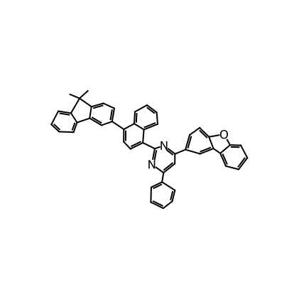 CC1(C)c2ccccc2-c2cc(-c3ccc(-c4nc(-c5ccccc5)cc(-c5ccc6oc7ccccc7c6c5)n4)c4ccccc34)ccc21